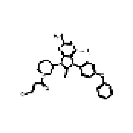 Nc1nc(N)c2c(n1)n([C@@H]1CCCN(C(=O)C=CCl)C1)c(=O)n2-c1ccc(Oc2ccccc2)cc1